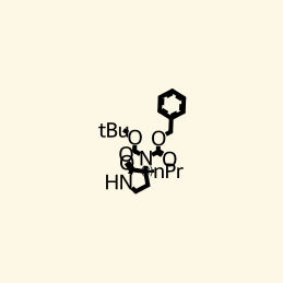 CCC[C@@]1(N(C(=O)OCc2ccccc2)C(=O)OC(C)(C)C)CCNC1=O